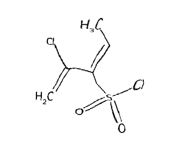 C=C(Cl)/C(=C\C)S(=O)(=O)Cl